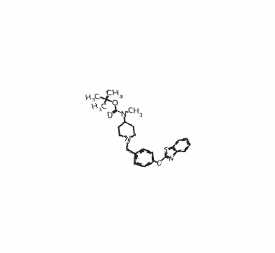 CN(C(=O)OC(C)(C)C)C1CCN(Cc2ccc(Oc3nc4ccccc4s3)cc2)CC1